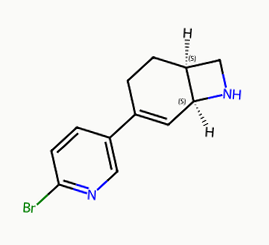 Brc1ccc(C2=C[C@@H]3NC[C@@H]3CC2)cn1